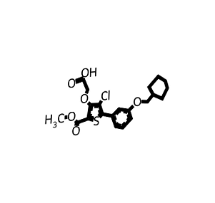 COC(=O)c1sc(-c2cccc(OCC3CCCCC3)c2)c(Cl)c1OCC(=O)O